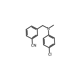 CN(Cc1cccc(C#N)c1)c1ccc(Cl)cc1